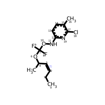 CC/C=C\C(C)OC(F)(F)ONc1ccc(C)c(Cl)n1